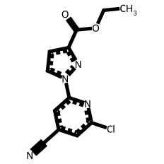 CCOC(=O)c1ccn(-c2cc(C#N)cc(Cl)n2)n1